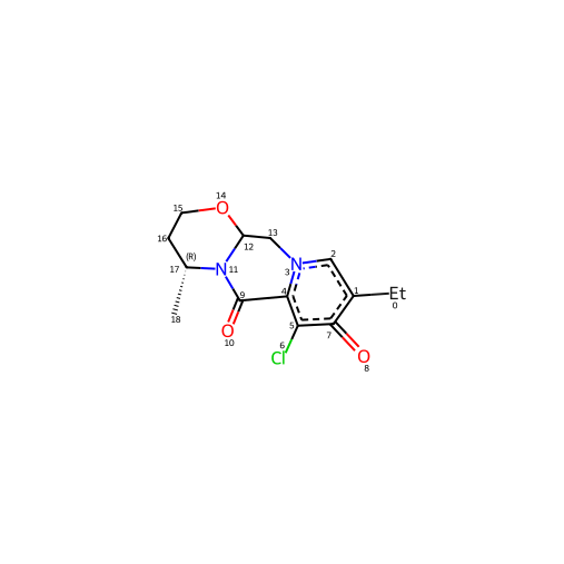 CCc1cn2c(c(Cl)c1=O)C(=O)N1C(C2)OCC[C@H]1C